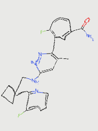 Cc1cc(NCC2(c3ncccc3F)CCC2)nnc1-c1cc(C(N)=O)ccc1F